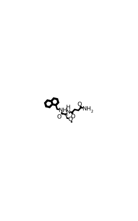 COC[C@H](NC(=O)CCC(N)=O)C(=O)NCc1cccc2ccccc12